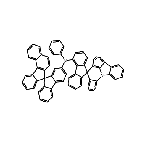 c1ccc(N(c2ccc3c(c2)C2(c4ccccc4-3)c3ccccc3-c3c2ccc2ccccc32)c2cccc3c2-c2ccccc2C32c3ccccc3-n3c4ccccc4c4cccc2c43)cc1